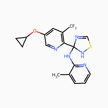 Cc1cccnc1NC1(c2ncc(OC3CC3)cc2C(F)(F)F)N=CSN1